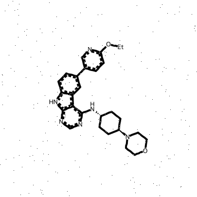 CCOc1ccc(-c2ccc3[nH]c4ncnc(N[C@H]5CC[C@H](N6CCOCC6)CC5)c4c3c2)cn1